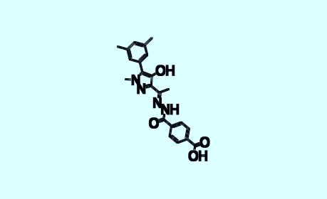 C/C(=N\NC(=O)c1ccc(C(=O)O)cc1)c1nn(C)c(-c2cc(C)cc(C)c2)c1O